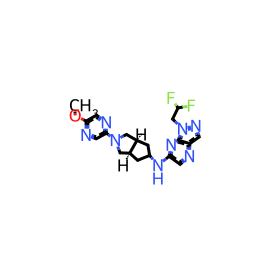 COc1cnc(N2C[C@H]3CC(Nc4cnc5cnn(CC(F)F)c5n4)C[C@H]3C2)cn1